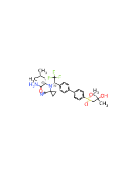 CC(C)C[C@@H](C(N)=O)N([C@@H](c1ccc(-c2ccc(S(=O)(=O)CC(C)(C)O)cc2)cc1)C(F)(F)F)C1(C#N)CC1